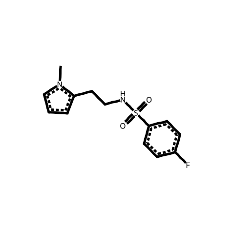 Cn1cccc1CCNS(=O)(=O)c1ccc(F)cc1